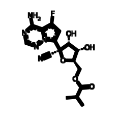 CC(C)C(=O)OC[C@H]1O[C@@](C#N)(c2cc(F)c3c(N)ncnn23)[C@H](O)[C@@H]1O